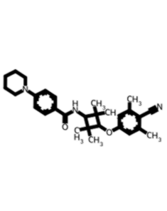 Cc1cc(OC2C(C)(C)C(NC(=O)c3ccc(N4CCCCC4)cc3)C2(C)C)cc(C)c1C#N